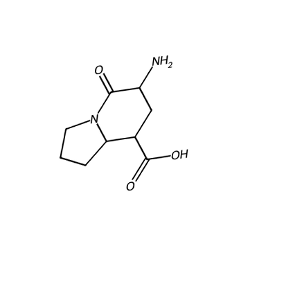 NC1CC(C(=O)O)C2CCCN2C1=O